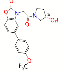 O=C(Cn1c(=O)oc2ccc(-c3ccc(OC(F)(F)F)cc3)cc21)N1CC[C@H](O)C1